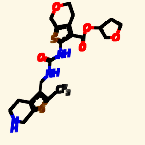 O=C(NCc1c(C(F)(F)F)sc2c1CCNC2)Nc1sc2c(c1C(=O)OC1CCOC1)CCOC2